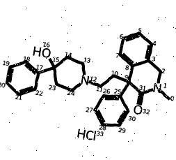 CN1Cc2ccccc2C(CCN2CCC(O)(c3ccccc3)CC2)(c2ccccc2)C1=O.Cl